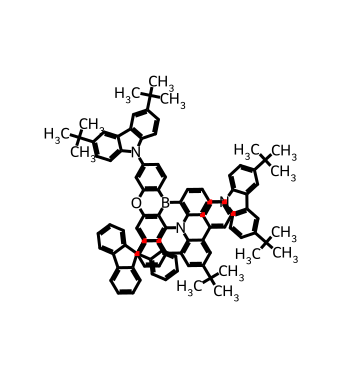 CC(C)(C)c1cc(-c2ccccc2)c(N2c3cc(-n4c5ccc(C(C)(C)C)cc5c5cc(C(C)(C)C)ccc54)ccc3B3c4ccc(-n5c6ccc(C(C)(C)C)cc6c6cc(C(C)(C)C)ccc65)cc4Oc4cc(C5(c6ccccc6)c6ccccc6-c6ccccc65)cc2c43)c(-c2ccccc2)c1